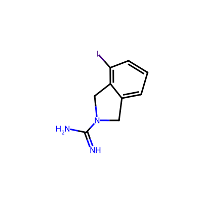 N=C(N)N1Cc2cccc(I)c2C1